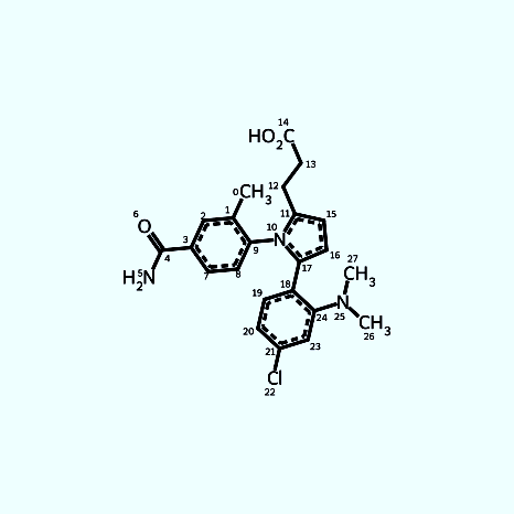 Cc1cc(C(N)=O)ccc1-n1c(CCC(=O)O)ccc1-c1ccc(Cl)cc1N(C)C